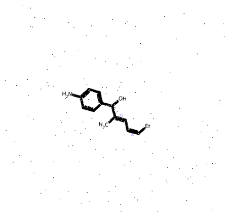 CC/C=C\C=C(/C)C(O)c1ccc(N)cc1